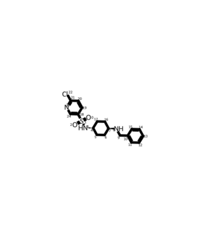 O=S(=O)(N[C@H]1CC[C@H](NCc2ccccc2)CC1)c1ccc(Cl)nc1